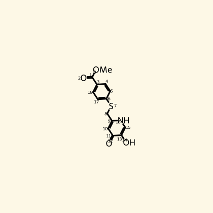 COC(=O)c1ccc(SCc2cc(=O)c(O)c[nH]2)cc1